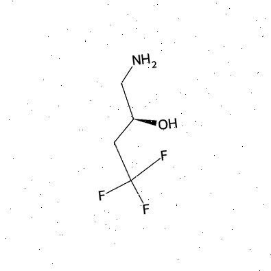 NC[C@@H](O)CC(F)(F)F